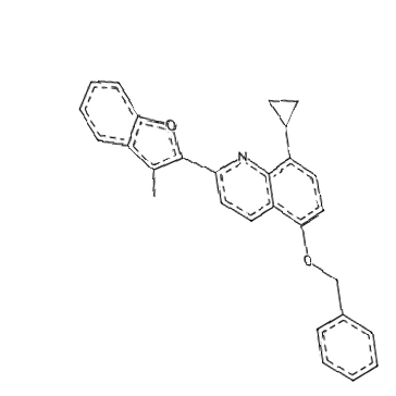 Cc1c(-c2ccc3c(OCc4ccccc4)ccc(C4CC4)c3n2)oc2ccccc12